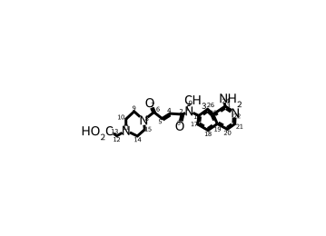 CN(C(=O)C=CC(=O)N1CCN(CC(=O)O)CC1)c1ccc2ccnc(N)c2c1